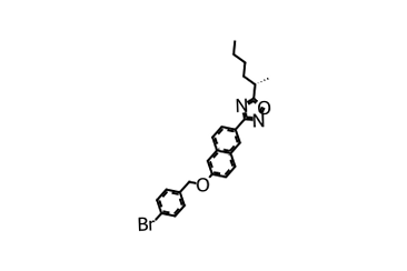 CCCC[C@H](C)c1nc(-c2ccc3cc(OCc4ccc(Br)cc4)ccc3c2)no1